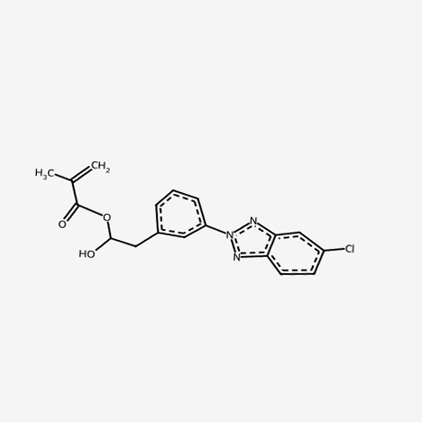 C=C(C)C(=O)OC(O)Cc1cccc(-n2nc3ccc(Cl)cc3n2)c1